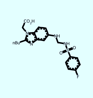 CCCCc1nc2cc(NCNS(=O)(=O)c3ccc(F)cc3)ccc2n1CC(=O)O